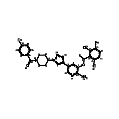 CC(Oc1cc(-c2cn(C3CCN(C(=O)c4ccc(F)cc4)CC3)nn2)cnc1N)c1c(Cl)ccc(F)c1Cl